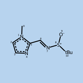 Cn1ccnc1C=N[S+]([O-])C(C)(C)C